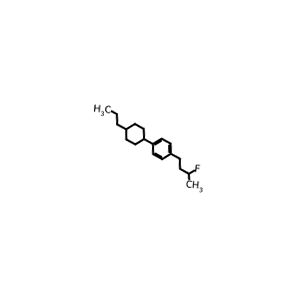 CCCC1CCC(c2ccc(CCC(C)F)cc2)CC1